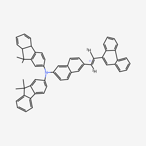 [2H]/C(=C(/[2H])c1cc2ccccc2c2ccccc12)c1ccc2cc(N(c3ccc4c(c3)C(C)(C)c3ccccc3-4)c3ccc4c(c3)C(C)(C)C3C=CC=CC43)ccc2c1